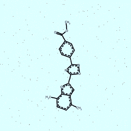 COC(=O)c1ccc(-c2noc(-c3cc4c(C)ccc(C)c4o3)n2)cc1